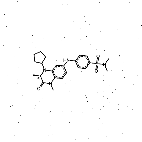 C[C@@H]1C(=O)N(C)c2ccc(Nc3ccc(S(=O)(=O)N(C)C)cc3)cc2N1C1CCCC1